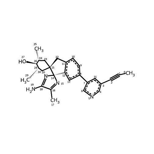 CC#Cc1cncc(-c2ccc3c(c2)[C@@]2(N=C(C)C(N)=N2)[C@@]2(C3)C[C@@H](C)[C@H](O)[C@@H](C)C2)c1